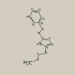 CCCCc1ccc(CCc2ccccc2)s1